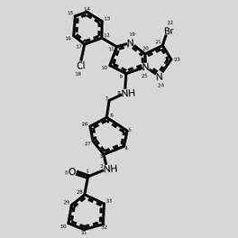 O=C(Nc1ccc(CNc2cc(-c3ccccc3Cl)nc3c(Br)cnn23)cc1)c1ccccc1